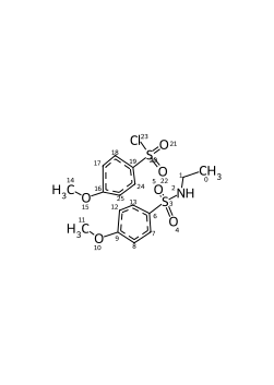 CCNS(=O)(=O)c1ccc(OC)cc1.COc1ccc(S(=O)(=O)Cl)cc1